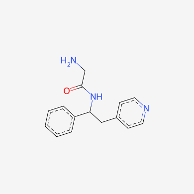 NCC(=O)NC(Cc1ccncc1)c1ccccc1